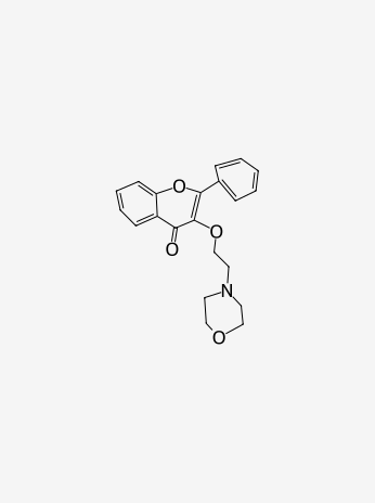 O=c1c(OCCN2CCOCC2)c(-c2ccccc2)oc2ccccc12